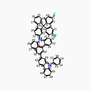 Fc1ccc(C2(c3ccc(F)cc3)c3ccccc3-c3ccc(N(c4ccccc4)c4ccccc4-c4cccc(-c5ccc6c7ccccc7n(-c7ccccc7)c6c5)c4)cc32)cc1